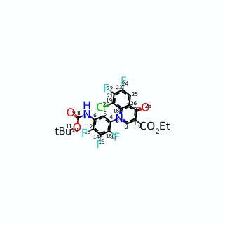 CCOC(=O)c1cn(-c2cc(NC(=O)OC(C)(C)C)c(F)c(F)c2F)c2c(Cl)c(F)c(F)cc2c1=O